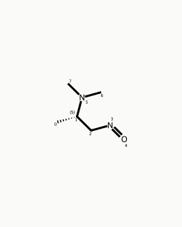 C[C@@H](CN=O)N(C)C